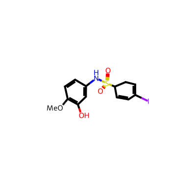 COc1ccc(NS(=O)(=O)C2C=CC(I)=CC2)cc1O